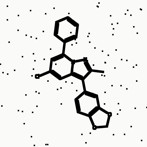 Cc1nn2c(-c3ccccc3)cc(Cl)cc2c1-c1ccc2c(c1)OCO2